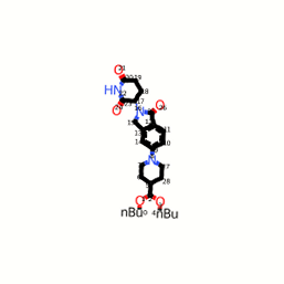 CCCCOC(OCCCC)C1CCN(c2ccc3c(c2)CN([C@H]2CCC(=O)NC2=O)C3=O)CC1